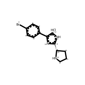 Brc1ccc(-c2c[nH]c([C@@H]3CCCN3)n2)cc1.Cl